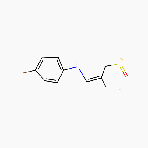 CCOC(=O)C(=CNc1ccc(Br)cc1)C[SH](=O)=O